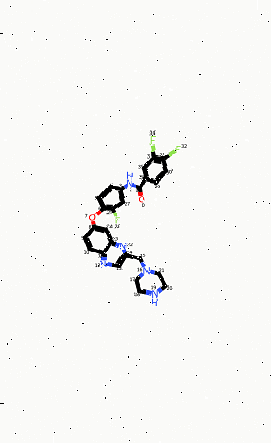 O=C(Nc1ccc(Oc2ccc3ncc(CN4CCNCC4)nc3c2)c(F)c1)c1ccc(F)c(F)c1